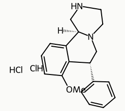 COc1cccc2c1[C@@H](c1ccccc1)CN1CCNC[C@H]21.Cl.Cl